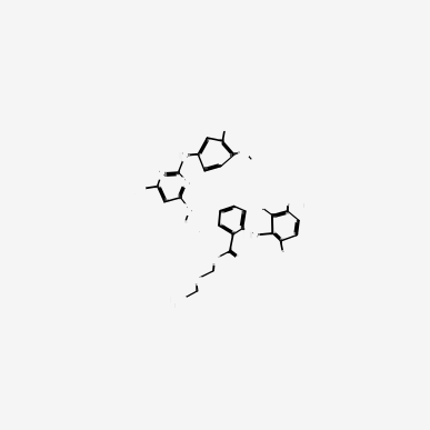 CCOCOC(=O)c1ccccc1Nc1c(Cl)ccc(C)c1Cl.CNc1cc(C)nc(Nc2ccc(OC)c(I)c2)n1